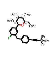 CC(=O)OC[C@H]1OC(c2ccc(F)c(Cc3ccc(C#C[Si](C(C)C)(C(C)C)C(C)C)cc3)c2)[C@H](OC(C)=O)[C@@H](OC(C)=O)[C@@H]1OC(C)=O